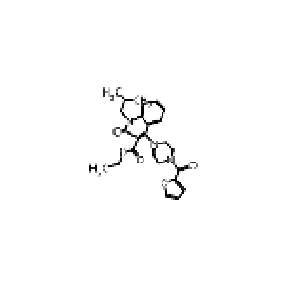 CCOC(=O)c1c(N2CCN(C(=O)c3ccco3)CC2)c2ccccc2n(CC(C)C)c1=O